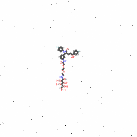 O=C(COCCOCCNC(=O)C(O)C(O)C(O)C(O)CO)Nc1cccc(C2C(CCC(O)c3ccc(F)cc3)C(=O)N2c2ccc(F)cc2)c1